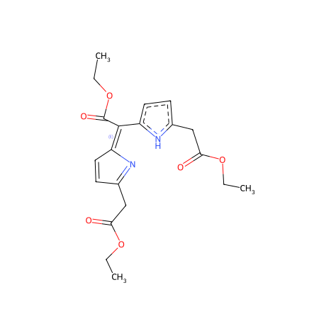 CCOC(=O)CC1=N/C(=C(/C(=O)OCC)c2ccc(CC(=O)OCC)[nH]2)C=C1